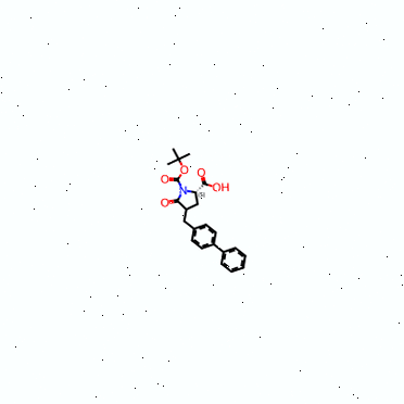 CC(C)(C)OC(=O)N1C(=O)C(Cc2ccc(-c3ccccc3)cc2)C[C@H]1C(=O)O